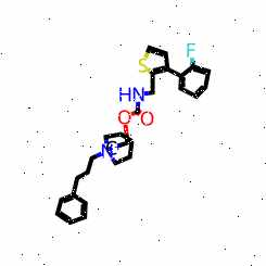 O=C(NCc1sccc1-c1ccccc1F)OC1C[N+]2(CCCc3ccccc3)CCC1CC2